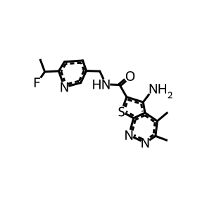 Cc1nnc2sc(C(=O)NCc3ccc(C(C)F)nc3)c(N)c2c1C